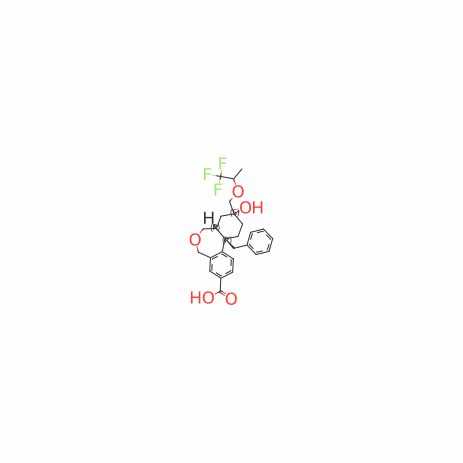 CC(OC[C@]1(O)CC[C@]2(Cc3ccccc3)c3ccc(C(=O)O)cc3COC[C@@H]2C1)C(F)(F)F